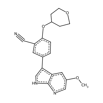 COc1cnc2[nH]cc(-c3ccc(OC4CCOCC4)c(C#N)c3)c2c1